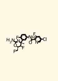 C[C@]1(c2cc(NC(=O)c3ncc(Cl)cc3F)ccc2F)N=C(N)O[C@H](CF)[C@@H]1F